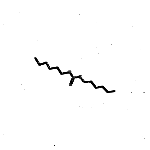 CCCCCCO[N+](=O)OCCCCCC